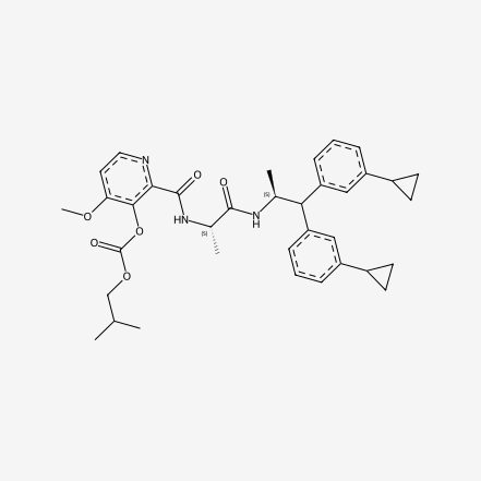 COc1ccnc(C(=O)N[C@@H](C)C(=O)N[C@@H](C)C(c2cccc(C3CC3)c2)c2cccc(C3CC3)c2)c1OC(=O)OCC(C)C